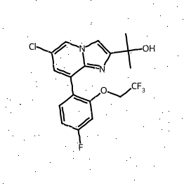 CC(C)(O)c1cn2cc(Cl)cc(-c3ccc(F)cc3OCC(F)(F)F)c2n1